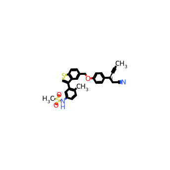 CC#C[C@@H](CC#N)c1ccc(OCc2ccc3scc(-c4cc(NS(C)(=O)=O)ccc4C)c3c2)cc1